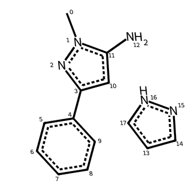 Cn1nc(-c2ccccc2)cc1N.c1cn[nH]c1